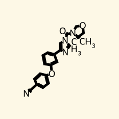 CC1(C)COCN1C(=O)n1cnc(-c2cccc(Oc3ccc(C#N)cc3)c2)c1